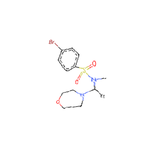 CCC(N1CCOCC1)N(C)S(=O)(=O)c1ccc(Br)cc1